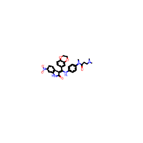 CN(C)CCC(=O)N(C)c1ccc(N/C(=C2\C(=O)Nc3cc([N+](=O)[O-])ccc32)c2ccc3c(c2)OCCO3)cc1